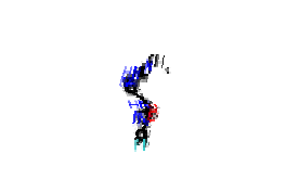 CN1CCCC(Nc2cnc3ccc(C#CCNC(=O)c4cncn(Cc5ccc(F)c(F)c5)c4=O)cc3n2)C1